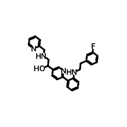 OC(CNCc1ccccn1)c1ccc(-c2ccccc2NCCc2cccc(F)c2)nc1